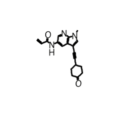 C=CC(=O)Nc1cnc2c(c1)c(C#CC1CCC(=O)CC1)cn2C